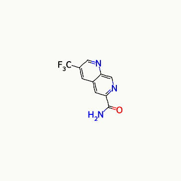 NC(=O)c1cc2cc(C(F)(F)F)cnc2cn1